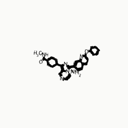 CNC(=O)C1CCC(C2=C3C=NC=C[N+]3(N)C(c3ccc4ccc(Oc5ccccc5)nc4c3)=N2)CC1